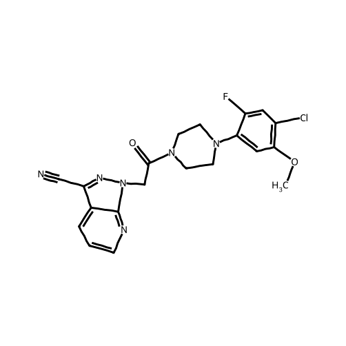 COc1cc(N2CCN(C(=O)Cn3nc(C#N)c4cccnc43)CC2)c(F)cc1Cl